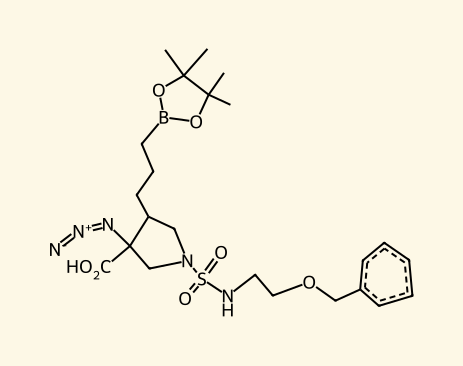 CC1(C)OB(CCCC2CN(S(=O)(=O)NCCOCc3ccccc3)CC2(N=[N+]=[N-])C(=O)O)OC1(C)C